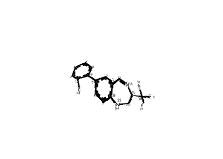 Fc1ccccc1-c1ccc2c(c1)C=N[C@@H](C(F)(F)F)CN2